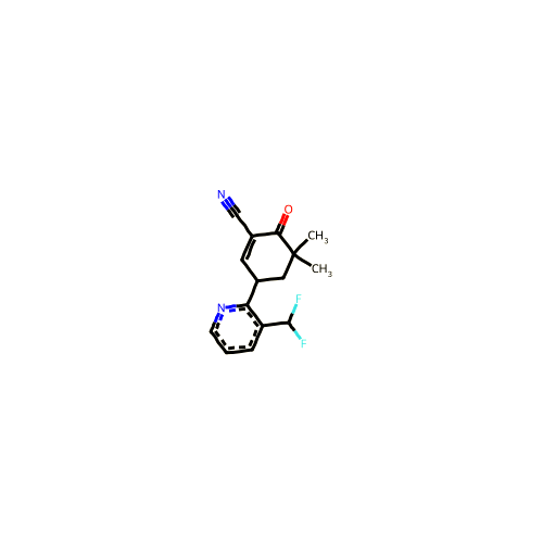 CC1(C)CC(c2ncccc2C(F)F)C=C(C#N)C1=O